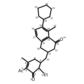 CCC1C(=O)C(C(C)=O)=C(C)CC1CC1CC(=O)c2c(ccc(C3CCCCC3)c2C)C1